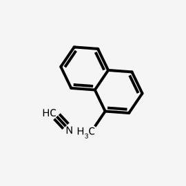 C#N.Cc1cccc2ccccc12